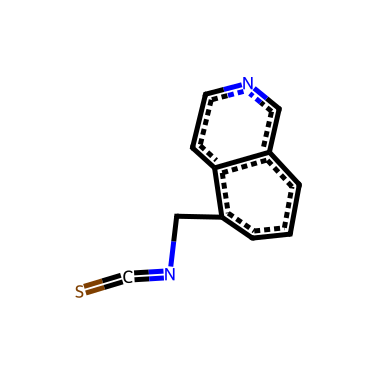 S=C=NCc1cccc2cnccc12